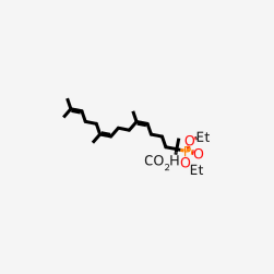 CCOP(=O)(OCC)C(C)(CCCC=C(C)CCC=C(C)CCC=C(C)C)C(=O)O